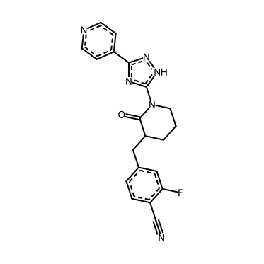 N#Cc1ccc(CC2CCCN(c3nc(-c4ccncc4)n[nH]3)C2=O)cc1F